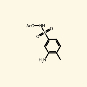 CC(=O)ONS(=O)(=O)c1ccc(C)c(N)c1